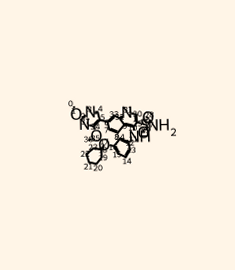 COc1ncc(-c2ccc3c(Nc4cccc(OC5CCCCC5)c4)c(S(N)(=O)=O)cnc3c2)c(OC)n1